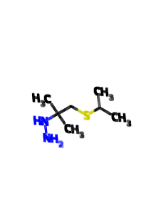 CC(C)SCC(C)(C)NN